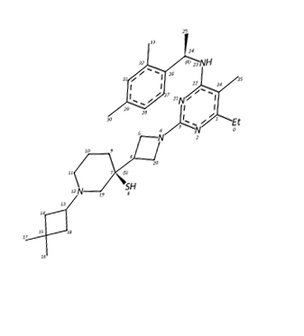 CCc1nc(N2CC([C@@]3(S)CCCN(C4CC(C)(C)C4)C3)C2)nc(N[C@H](C)c2ccc(C)cc2C)c1C